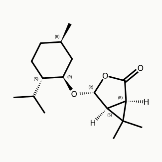 CC(C)[C@@H]1CC[C@@H](C)C[C@H]1O[C@@H]1OC(=O)[C@@H]2[C@H]1C2(C)C